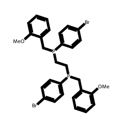 COc1ccccc1CP(CCP(Cc1ccccc1OC)c1ccc(Br)cc1)c1ccc(Br)cc1